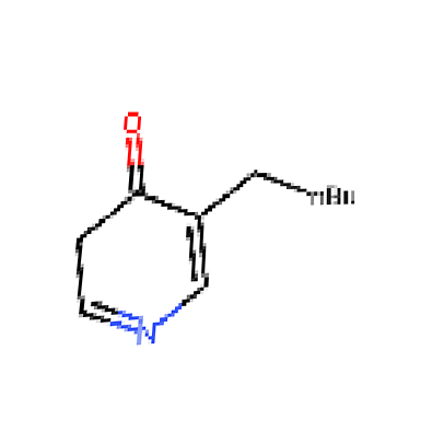 CCCCCC1=CN=CCC1=O